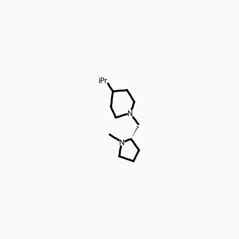 CC(C)C1CCN(C[C@@H]2CCCN2C)CC1